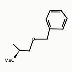 [CH2][C@@H](COCc1ccccc1)OC